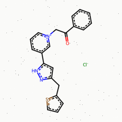 O=C(C[n+]1cccc(-c2cc(Cc3cccs3)n[nH]2)c1)c1ccccc1.[Cl-]